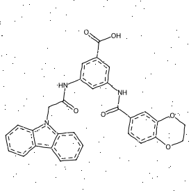 O=C(Cn1c2ccccc2c2ccccc21)Nc1cc(NC(=O)c2ccc3c(c2)OCCO3)cc(C(=O)O)c1